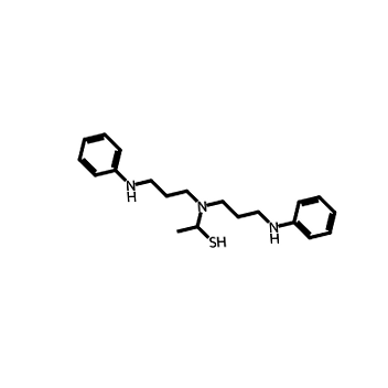 CC(S)N(CCCNc1ccccc1)CCCNc1ccccc1